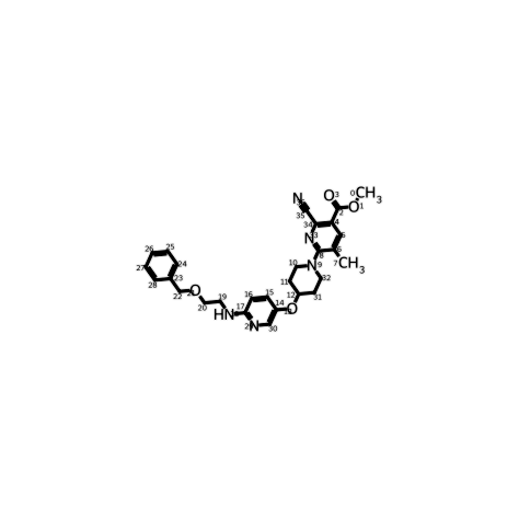 COC(=O)c1cc(C)c(N2CCC(Oc3ccc(NCCOCc4ccccc4)nc3)CC2)nc1C#N